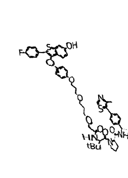 Cc1ncsc1-c1ccc([C@H](C)NC(=O)[C@@H]2CCCN2C(=O)C(NC(=O)COCCCOCCCOc2ccc(Oc3c(-c4ccc(F)cc4)sc4cc(O)ccc34)cc2)C(C)(C)C)cc1